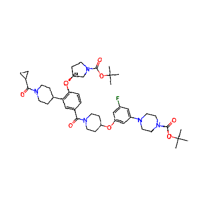 CC(C)(C)OC(=O)N1CCN(c2cc(F)cc(OC3CCN(C(=O)c4ccc(O[C@H]5CCN(C(=O)OC(C)(C)C)C5)c(C5CCN(C(=O)C6CC6)CC5)c4)CC3)c2)CC1